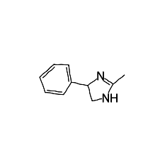 CC1=NC(c2ccccc2)CN1